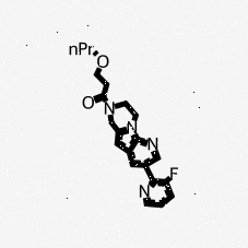 CCCOCCC(=O)N1CCn2c(cc3cc(-c4ncccc4F)cnc32)C1